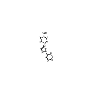 Oc1ccc(-n2cc(-c3ccccc3)nn2)cc1